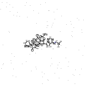 COC(=O)[C@H](C)N[P@@](=O)(Oc1ccccc1)OC1[C@@]2(C#N)O[C@@H](c3ccc4c(/N=C/N(C)C)ncnn34)[C@H](OC(=O)C(C)C)[C@@]12OC(=O)C(C)C